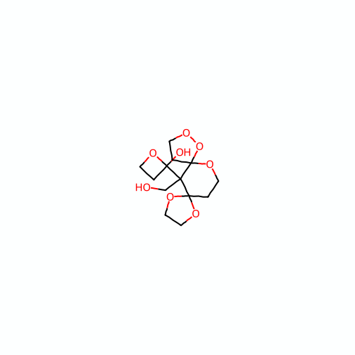 OCC1(C2(O)CCO2)C2(CCOC13CCOO3)OCCO2